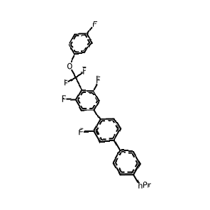 CCCc1ccc(-c2ccc(-c3cc(F)c(C(F)(F)Oc4ccc(F)cc4)c(F)c3)c(F)c2)cc1